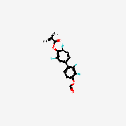 C=C(C)C(=O)OC1=C(F)C=C(c2ccc(OC=O)c(F)c2F)C=CC1F